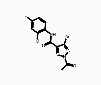 CC(=O)n1nc(Br)c(C(=O)Nc2ccc(F)cc2Cl)n1